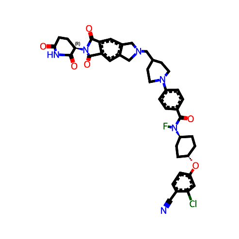 N#Cc1ccc(O[C@H]2CC[C@H](N(F)C(=O)c3ccc(N4CCC(CN5Cc6cc7c(cc6C5)C(=O)N([C@@H]5CCC(=O)NC5=O)C7=O)CC4)cc3)CC2)cc1Cl